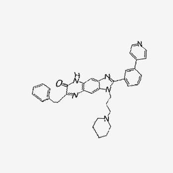 O=c1[nH]c2cc3nc(-c4cccc(-c5ccncc5)c4)n(CCCN4CCCCC4)c3cc2nc1Cc1ccccc1